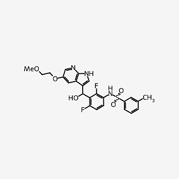 COCCOc1cnc2[nH]cc(C(O)c3c(F)ccc(NS(=O)(=O)c4cccc(C)c4)c3F)c2c1